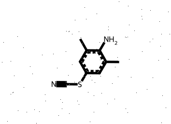 Cc1cc(SC#N)cc(C)c1N